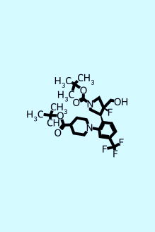 CC(C)(C)OC(=O)C1CCN(c2cc(C(F)(F)F)ccc2[C@H]2CN(C(=O)OC(C)(C)C)C[C@]2(F)CO)CC1